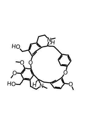 COc1ccc2cc1Oc1ccc(cc1)C[C@H]1c3cc(c(CO)cc3CCN1C)Oc1c(OC)c(OC)c(CO)c3c1[C@H](C2)N(C)CC3